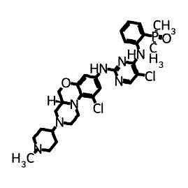 CN1CCC(N2CCN3c4c(Cl)cc(Nc5ncc(Cl)c(Nc6ccccc6P(C)(C)=O)n5)cc4OC[C@H]3C2)CC1